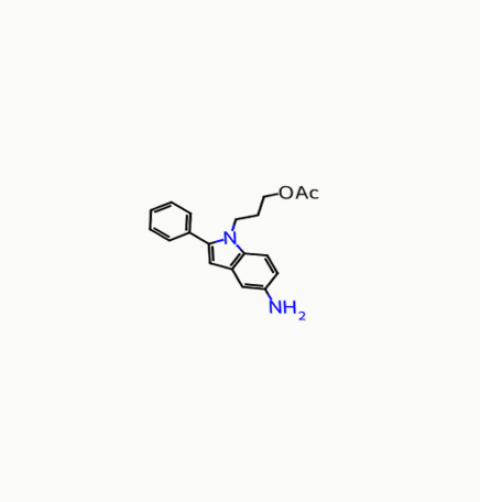 CC(=O)OCCCn1c(-c2ccccc2)cc2cc(N)ccc21